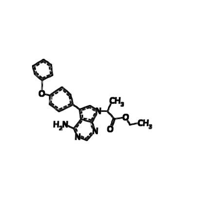 CCOC(=O)C(C)n1cc(-c2ccc(Oc3ccccc3)cc2)c2c(N)ncnc21